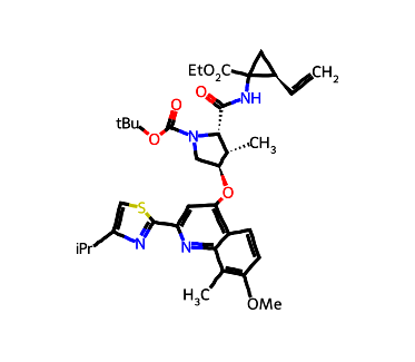 C=C[C@@H]1CC1(NC(=O)[C@@H]1[C@H](C)[C@@H](Oc2cc(-c3nc(C(C)C)cs3)nc3c(C)c(OC)ccc23)CN1C(=O)OC(C)(C)C)C(=O)OCC